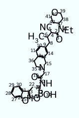 CCN(C(=O)C(C#N)C(C)Cc1ccc2c(c1)CN(CC(=O)N[C@@H](Cc1coc3ccccc13)B(O)O)CC2)C1CCOCC1